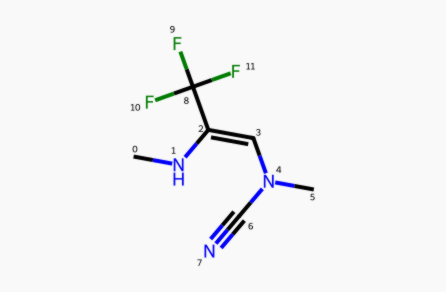 CN/C(=C\N(C)C#N)C(F)(F)F